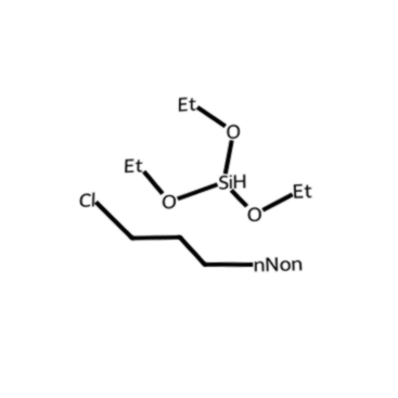 CCCCCCCCCCCCCl.CCO[SiH](OCC)OCC